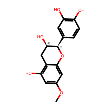 COc1cc(O)c2c(c1)O[C@H](c1ccc(O)c(O)c1)[C@H](O)C2